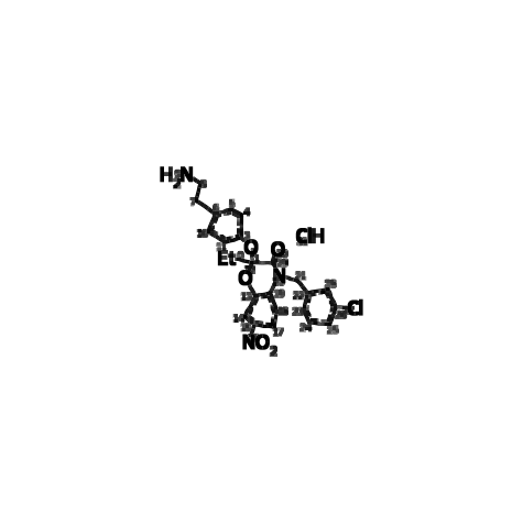 CCC1(Oc2ccc(CCN)cc2)Oc2cc([N+](=O)[O-])ccc2N(Cc2cccc(Cl)c2)C1=O.Cl